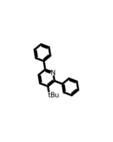 CC(C)(C)c1ccc(-c2ccccc2)nc1-c1ccccc1